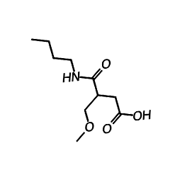 CCCCNC(=O)C(COC)CC(=O)O